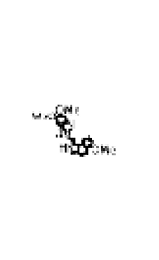 COc1cc2ncn(CCC3NCC4CCc5c(OC)cccc5C43)c(=O)c2cc1OC